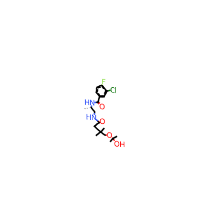 C[C@@H](CNC(=O)CC(C)(C)COC(C)(C)O)NC(=O)c1ccc(F)c(Cl)c1